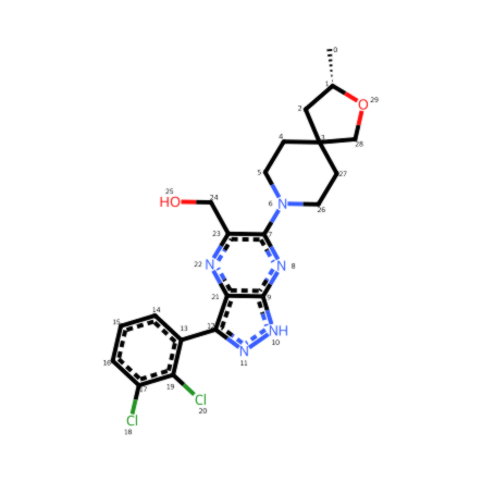 C[C@H]1CC2(CCN(c3nc4[nH]nc(-c5cccc(Cl)c5Cl)c4nc3CO)CC2)CO1